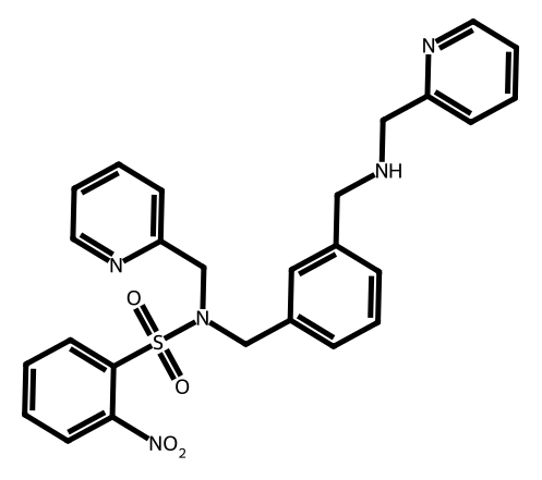 O=[N+]([O-])c1ccccc1S(=O)(=O)N(Cc1cccc(CNCc2ccccn2)c1)Cc1ccccn1